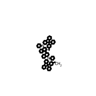 C=Cc1ccc(C2(c3ccccc3)c3ccccc3-c3ccc(N(c4ccccc4)c4ccc(-c5ccc(N(c6ccccc6)c6ccc7c(c6)C(c6ccccc6)(c6ccc(C=C)cc6)c6ccccc6-7)c6ccccc56)c5ccccc45)cc32)cc1